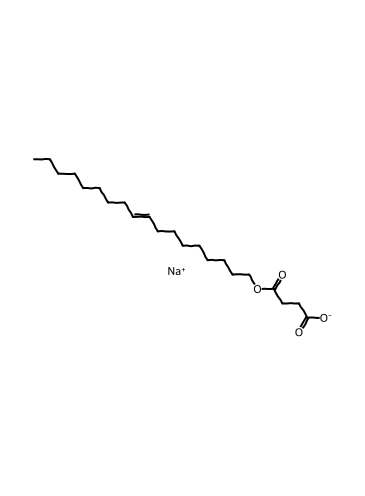 CCCCCCCCC=CCCCCCCCCOC(=O)CCC(=O)[O-].[Na+]